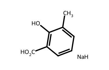 Cc1cccc(C(=O)O)c1O.[NaH]